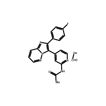 CC(C)(C)C(=O)Nc1cc(-c2c(-c3ccc(F)cc3)nc3cccnn23)ccn1.O=CO